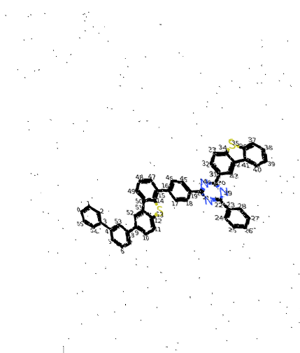 c1ccc(-c2cccc(-c3ccc4sc5c(-c6ccc(-c7nc(-c8ccccc8)nc(-c8ccc9sc%10ccccc%10c9c8)n7)cc6)cccc5c4c3)c2)cc1